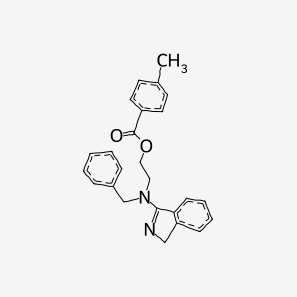 Cc1ccc(C(=O)OCCN(Cc2ccccc2)C2=NCc3ccccc32)cc1